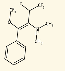 C[SiH](C)C(=C(OC(F)(F)F)c1ccccc1)C(F)C(F)(F)F